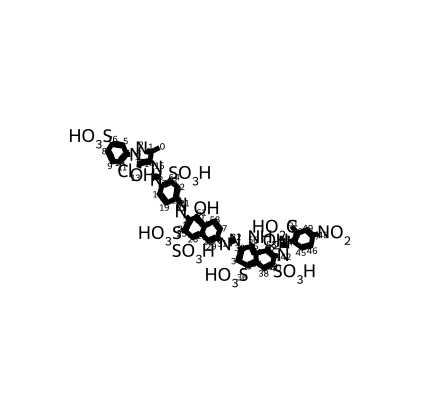 Cc1nn(-c2cc(S(=O)(=O)O)ccc2Cl)c(O)c1N=Nc1ccc(N=Nc2c(S(=O)(=O)O)cc3c(S(=O)(=O)O)c(N=Nc4cc(S(=O)(=O)O)c5cc(S(=O)(=O)O)c(N=Nc6ccc([N+](=O)[O-])cc6C(=O)O)c(O)c5c4N)ccc3c2O)cc1S(=O)(=O)O